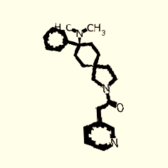 CN(C)[C@]1(c2ccccc2)CC[C@]2(CCN(C(=O)Cc3cccnc3)C2)CC1